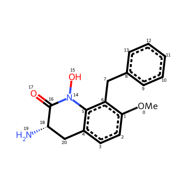 COc1ccc2c(c1Cc1ccccc1)N(O)C(=O)[C@@H](N)C2